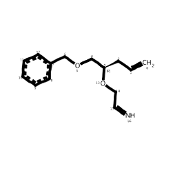 C=CC[C@H](COCc1ccccc1)OCC=N